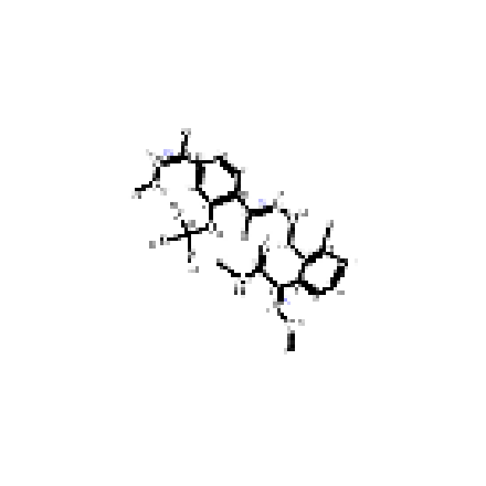 CNC(=O)/C(=N/OC)c1cccc(C)c1CO/N=C(\C)c1ccc(/C(C)=N\OC)cc1OC(F)(F)F